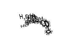 CC(C)CC(NC(=O)[C@H](CO)NC(=O)C1CCc2c(cccc2OCc2ccccc2)C1)C(=O)C1(CO)CO1